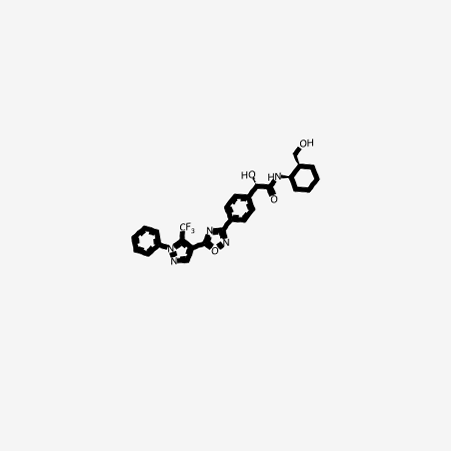 O=C(N[C@@H]1CCCC[C@@H]1CO)[C@@H](O)c1ccc(-c2noc(-c3cnn(-c4ccccc4)c3C(F)(F)F)n2)cc1